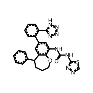 O=C(Nc1nncs1)Nc1cc(-c2ccccc2-c2nnn[nH]2)cc2c1OCCCC2c1ccccc1